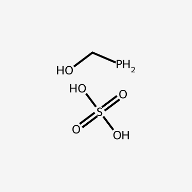 O=S(=O)(O)O.OCP